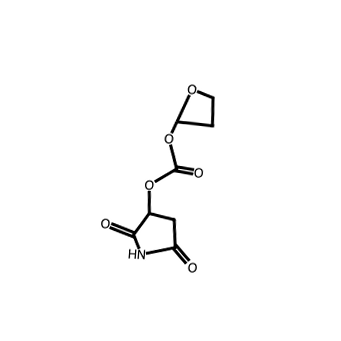 O=C1CC(OC(=O)OC2CCO2)C(=O)N1